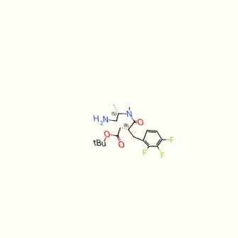 C[C@@H](CN)N(C)C(=O)[C@@H](CC(=O)OC(C)(C)C)Cc1ccc(F)c(F)c1F